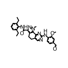 CCc1cccc(CC)c1NC(=O)c1nn(C)c2c1CCc1cnc(Nc3ccc(C=O)cc3OC)nc1-2